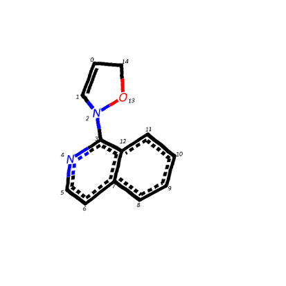 C1=CN(c2nccc3ccccc23)OC1